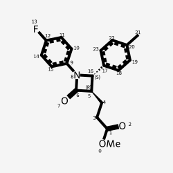 COC(=O)CC[C@H]1C(=O)N(c2ccc(F)cc2)[C@@H]1c1ccc(C)cc1